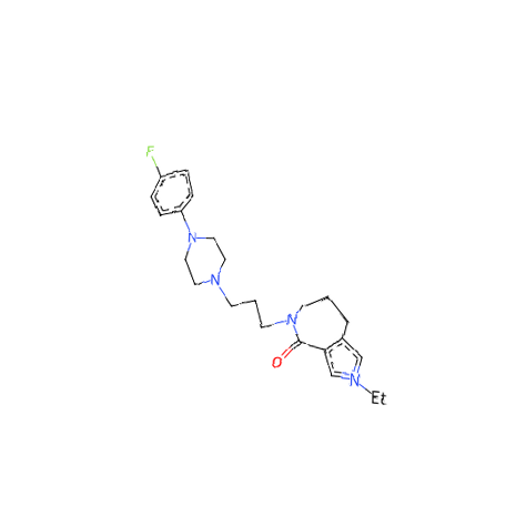 CCn1cc2c(c1)C(=O)N(CCCN1CCN(c3ccc(F)cc3)CC1)CCC2